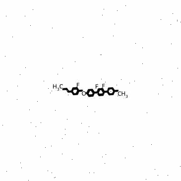 CCCCC1C=C(F)C(COc2ccc(-c3ccc(C4CCC(CC)CC4)c(F)c3F)cc2)=CC1